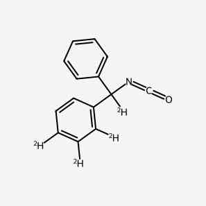 [2H]c1ccc(C([2H])(N=C=O)c2ccccc2)c([2H])c1[2H]